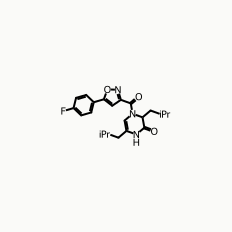 CC(C)CC1=CN(C(=O)c2cc(-c3ccc(F)cc3)on2)C(CC(C)C)C(=O)N1